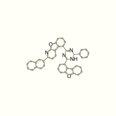 c1ccc(C2N=C(c3cccc4oc5nc(-c6ccc7ccccc7c6)ccc5c34)N=C(c3cccc4oc5ccccc5c34)N2)cc1